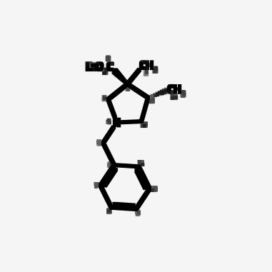 CCOC(=O)[C@]1(C)CN(Cc2ccccc2)C[C@H]1C